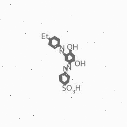 CCc1ccc(N=Nc2cc(N=Nc3ccc(S(=O)(=O)O)cc3)c(O)cc2O)cc1